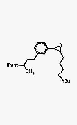 CCCCOCCCC1OC1c1cccc(CCC(C)C(C)CCC)c1